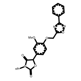 CCCN1C(=O)OC(c2ccc(OCc3nc(-c4ccccc4)no3)c(OC)c2)C1=O